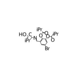 CC(C)C(=O)Oc1cc(Br)cc(C=NC(C(=O)O)C(C)C)c1OC(=O)C(C)C